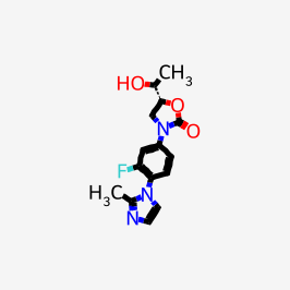 Cc1nccn1-c1ccc(N2C[C@H](C(C)O)OC2=O)cc1F